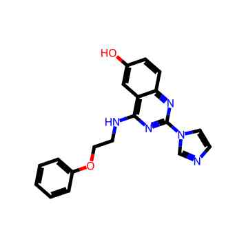 Oc1ccc2nc(-n3ccnc3)nc(NCCOc3ccccc3)c2c1